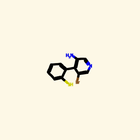 Nc1cncc(Br)c1-c1ccccc1S